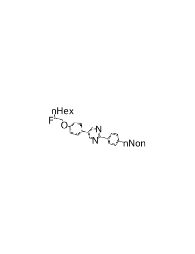 CCCCCCCCCc1ccc(-c2ncc(-c3ccc(OCC(F)CCCCCC)cc3)cn2)cc1